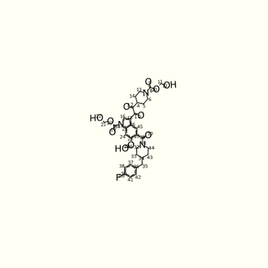 O=C(C(=O)C1CCN(C(=O)OCO)CC1)c1cn(C(=O)OCO)c2cc(OO)c(C(=O)N3CCC(Cc4ccc(F)cc4)CC3)cc12